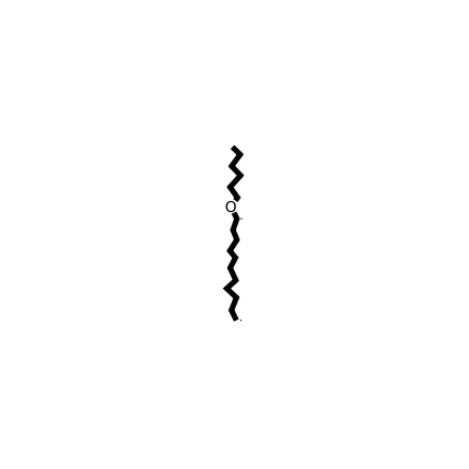 [CH2]CCCCCCCCC[CH]OCCCCCC